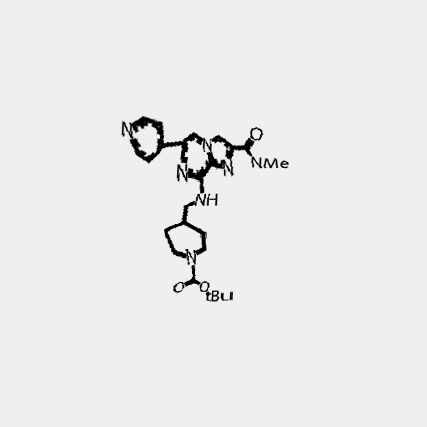 CNC(=O)c1cn2cc(-c3ccncc3)nc(NCC3CCN(C(=O)OC(C)(C)C)CC3)c2n1